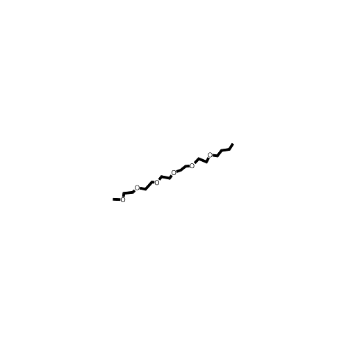 CCCCOCCOCCOCCOCCOCCOC